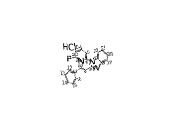 Cl.Fc1cccc(-n2c(C=Cc3ccccc3)nc3ccccc32)n1